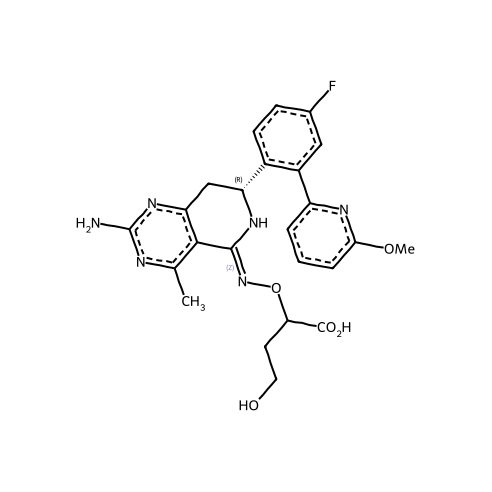 COc1cccc(-c2cc(F)ccc2[C@H]2Cc3nc(N)nc(C)c3/C(=N/OC(CCO)C(=O)O)N2)n1